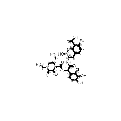 CCN1C[C@H](CO)N(C(=O)NC(C(=O)N[C@H]2Cc3ccc(F)c(C(=O)O)c3OB2O)c2ccc(O)c(O)c2Cl)C(=O)C1=O